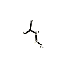 CC(C)SSCl